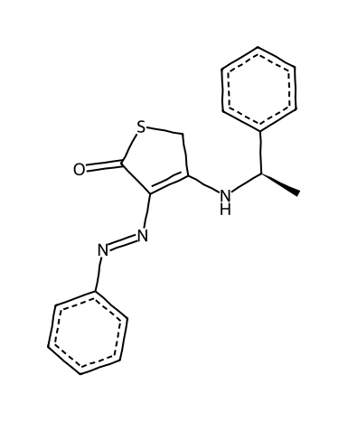 C[C@@H](NC1=C(N=Nc2ccccc2)C(=O)SC1)c1ccccc1